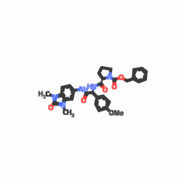 COc1ccc([C@H](NC(=O)[C@@H]2CCCN2C(=O)OCc2ccccc2)C(=O)Nc2ccc3c(c2)n(C)c(=O)n3C)cc1